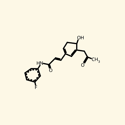 CC(=O)CC1=CC(/C=C/C(=O)Nc2cccc(F)c2)=CCC1O